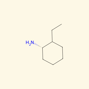 CCC1CCCC[C@@H]1N